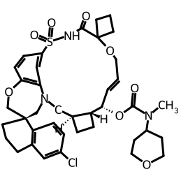 CN(C(=O)O[C@H]1/C=C/COC2(CCC2)C(=O)NS(=O)(=O)c2ccc3c(c2)N(C[C@@H]2CC[C@H]21)C[C@@]1(CCCc2cc(Cl)ccc21)CO3)C1CCOCC1